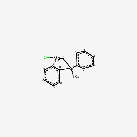 CC(C)(C)[Si]([CH2][Mg][Cl])(c1ccccc1)c1ccccc1